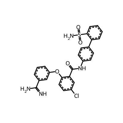 N=C(N)c1cccc(Oc2ccc(Cl)cc2C(=O)Nc2ccc(-c3ccccc3S(N)(=O)=O)cc2)c1